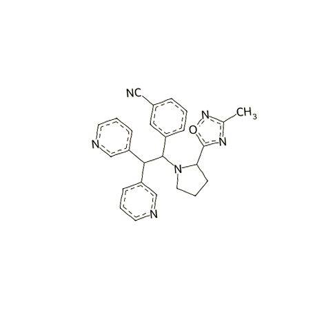 Cc1noc(C2CCCN2C(c2cccc(C#N)c2)C(c2cccnc2)c2cccnc2)n1